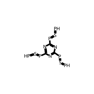 P=S=Pc1nc(P=S=P)nc(P=S=P)n1